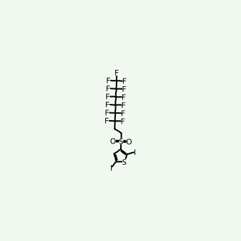 O=S(=O)(CCC(F)(F)C(F)(F)C(F)(F)C(F)(F)C(F)(F)C(F)(F)F)c1cc(I)sc1I